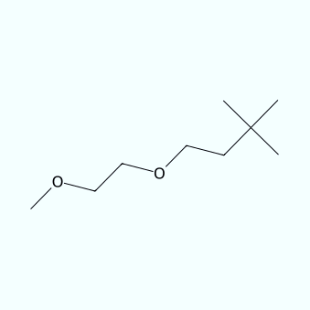 COCCOCCC(C)(C)C